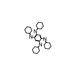 c1c(N=C2CCCCC2)c(N=C2CCCCC2)cc(N=C2CCCCC2)c1N=C1CCCCC1